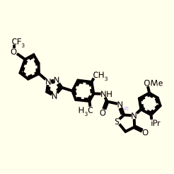 COc1ccc(C(C)C)c(N2C(=O)CS/C2=N\C(=O)Nc2c(C)cc(-c3ncn(-c4ccc(OC(F)(F)F)cc4)n3)cc2C)c1